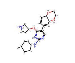 C[C@H]1CC[C@H](Nc2ncc(C3=CC4OCCOC4C=C3)c(OC3CCNC3)n2)CC1